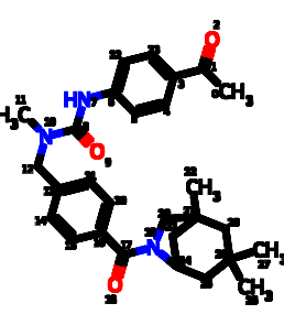 CC(=O)c1ccc(NC(=O)N(C)Cc2ccc(C(=O)N3CC4(C)CC3CC(C)(C)C4)cc2)cc1